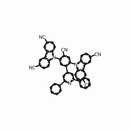 N#Cc1ccc2c(c1)c1cc(C#N)ccc1n2-c1cc(-c2cc(-c3ccccc3)nc(-c3ccccc3)c2)c(-n2c3ccc(C#N)cc3c3cc(C#N)ccc32)cc1C#N